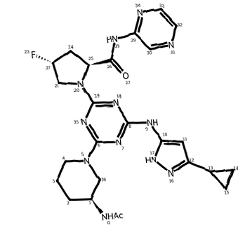 CC(=O)N[C@H]1CCCN(c2nc(Nc3cc(C4CC4)n[nH]3)nc(N3C[C@H](F)C[C@H]3C(=O)Nc3cnccn3)n2)C1